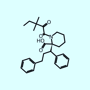 CCC(C)(C)C(=O)C(=O)N1CCCC[C@@]1(C(=O)O)C(CCc1ccccc1)c1ccccc1